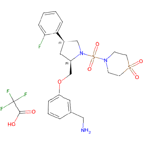 NCc1cccc(OC[C@H]2C[C@@H](c3ccccc3F)CN2S(=O)(=O)N2CCS(=O)(=O)CC2)c1.O=C(O)C(F)(F)F